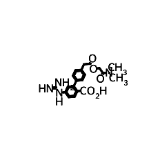 CN(C)C(=O)COC(=O)Cc1ccc(-c2cc(NC(=N)N)ccc2C(=O)O)cc1